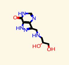 O=c1[nH]cnc2c(CNC[C@@H](O)CO)n[nH]c12